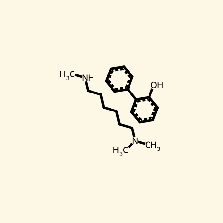 CNCCCCCCN(C)C.Oc1ccccc1-c1ccccc1